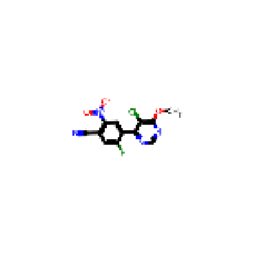 COc1ncnc(-c2cc([N+](=O)[O-])c(C#N)cc2F)c1Cl